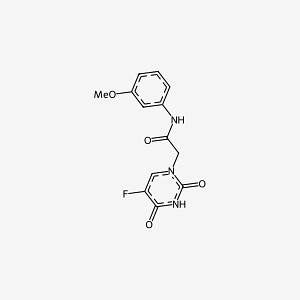 COc1cccc(NC(=O)Cn2cc(F)c(=O)[nH]c2=O)c1